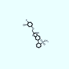 CS(=O)(=O)c1ccccc1-c1ccc2[nH]c(COc3ccc(F)c(Cl)c3)nc2c1